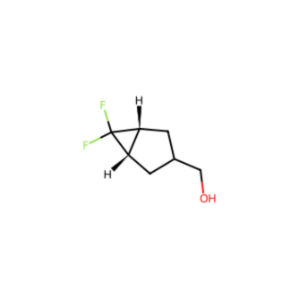 OCC1C[C@@H]2[C@H](C1)C2(F)F